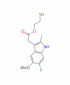 COc1cc2c(CC(=O)OCCS)c(C)[nH]c2cc1F